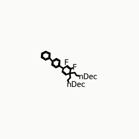 CCCCCCCCCCCCC1(CCCCCCCCCCCC)C=CC(c2ccc(-c3ccccc3)cc2)C(F)=C1F